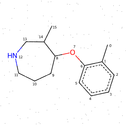 Cc1ccccc1OC1CCCNCC1C